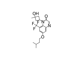 CC(C)CCOc1cc(C(F)(F)F)c2c(c1)ncc(=O)n2C1CC(C)(O)C1